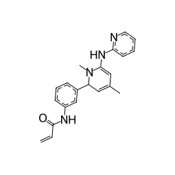 C=CC(=O)Nc1cccc(C2C=C(C)C=C(Nc3ccccn3)N2C)c1